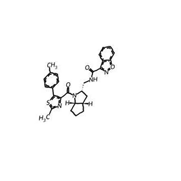 Cc1ccc(-c2sc(C)nc2C(=O)N2[C@H](CNC(=O)c3noc4ccccc34)C[C@@H]3CCC[C@@H]32)cc1